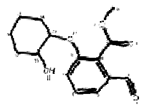 COC(=O)c1c(C=O)cccc1OC1CCCCC1O